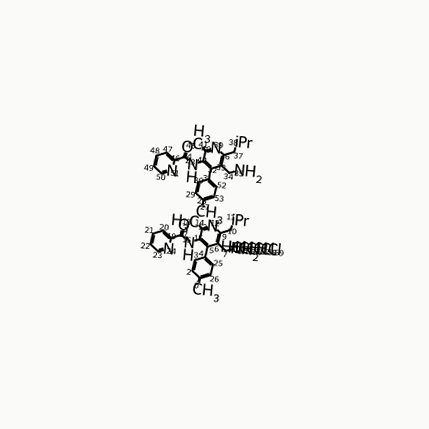 Cc1ccc(-c2c(CN)c(CC(C)C)nc(C)c2NC(=O)c2ccccn2)cc1.Cc1ccc(-c2c(CN)c(CC(C)C)nc(C)c2NC(=O)c2ccccn2)cc1.Cl.Cl.Cl.Cl.Cl.Cl